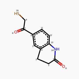 O=C1CCc2cc(C(=O)CS)ccc2N1